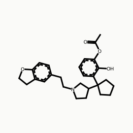 CC(=O)Oc1cccc(C2(C3CCN(CCc4ccc5c(c4)CCO5)C3)CCCC2)c1O